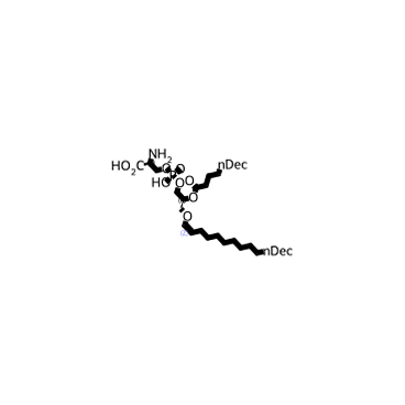 CCCCCCCCCCCCCCCCCC/C=C\OC[C@H](COP(=O)(O)OC[C@H](N)C(=O)O)OC(=O)CCCCCCCCCCCCC